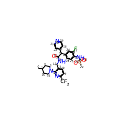 CC1CCN(c2nc(C(F)(F)F)ccc2CNC(=O)C(c2ccncc2)c2ccc(NS(C)(=O)=O)c(F)c2)CC1